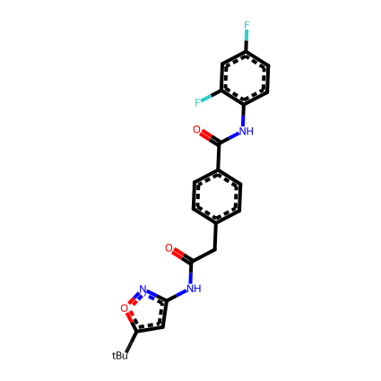 CC(C)(C)c1cc(NC(=O)Cc2ccc(C(=O)Nc3ccc(F)cc3F)cc2)no1